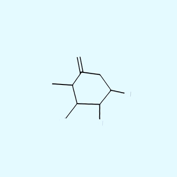 O=C1CC(Cl)C(Cl)C(Cl)C1Cl